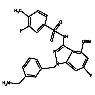 COc1cc(F)cc2c1c(NS(=O)(=O)c1ccc(C)c(F)c1)nn2Cc1cccc(CN)c1